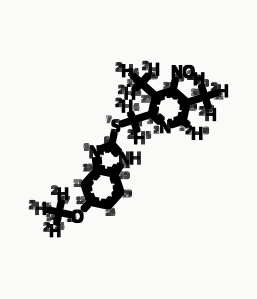 [2H]c1nc(C([2H])([2H])Sc2nc3cc(OC([2H])([2H])[2H])ccc3[nH]2)c(C([2H])([2H])[2H])c([N+](=O)[O-])c1C([2H])([2H])[2H]